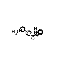 CN1CCCC(N2CCN(C(=O)c3cc4ccccc4[nH]3)CC2)C1